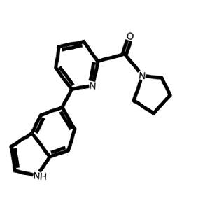 O=C(c1cccc(-c2ccc3[nH]ccc3c2)n1)N1CCCC1